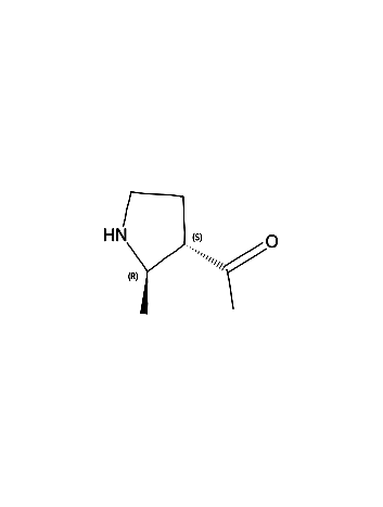 CC(=O)[C@H]1CCN[C@@H]1C